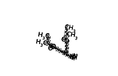 CCCC/C(C)=C/CC(=O)OCCCCCCN(CCCCCCCOC(=O)CCC(C)CCCC)CCCn1ccnc1